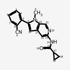 Cn1c(-c2ccccc2C#N)cc2cc(NC(=O)C3CC3)ncc21